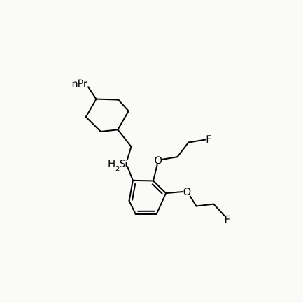 CCCC1CCC(C[SiH2]c2cccc(OCCF)c2OCCF)CC1